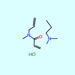 C=CCN(C)C(=O)C=C.CCCN(C)C.Cl